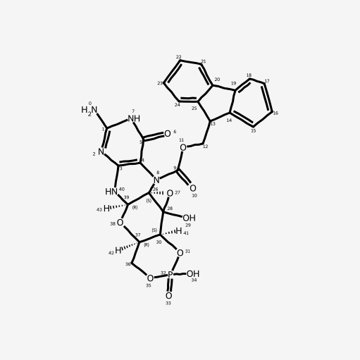 Nc1nc2c(c(=O)[nH]1)N(C(=O)OCC1c3ccccc3-c3ccccc31)[C@@]13OC1(O)[C@H]1OP(=O)(O)OC[C@H]1O[C@H]3N2